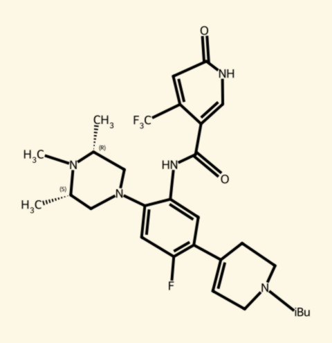 CCC(C)N1CC=C(c2cc(NC(=O)c3c[nH]c(=O)cc3C(F)(F)F)c(N3C[C@@H](C)N(C)[C@@H](C)C3)cc2F)CC1